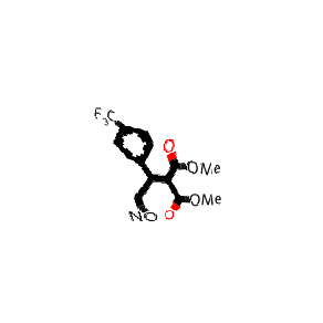 COC(=O)C(C(=O)OC)C(CN=O)c1ccc(C(F)(F)F)cc1